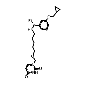 CC[C@@H](NCCCCCOCn1ccc(=O)[nH]c1=O)c1cccc(OCC2CC2)c1